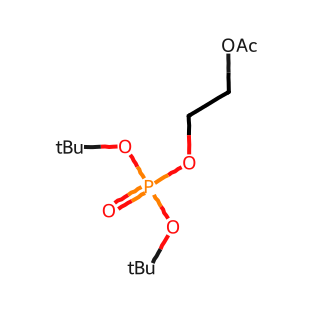 CC(=O)OCCOP(=O)(OC(C)(C)C)OC(C)(C)C